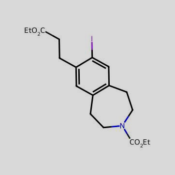 CCOC(=O)CCc1cc2c(cc1I)CCN(C(=O)OCC)CC2